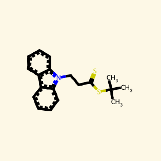 CC(C)(C)SC(=S)CCn1c2ccccc2c2ccccc21